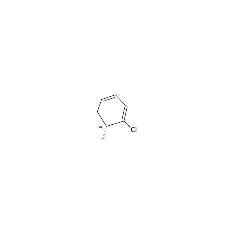 C[C@@H]1CC=CC=C1Cl